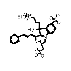 CCOC(=O)CCCC1(C)C(C(N)=CC=Cc2ccccc2)=[N+](CCCS(=O)(=O)[O-])c2ccc(S(=O)(=O)[O-])cc21.[Na+]